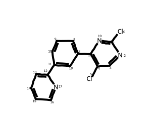 Clc1ncc(Cl)c(-c2cccc(-c3ccccn3)c2)n1